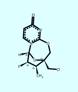 C[C@H]1[C@@H](F)[C@H]2O[C@]1(CCl)COc1nc(=O)ccn12